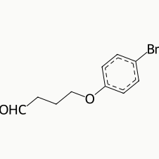 O=CCCCOc1ccc(Br)cc1